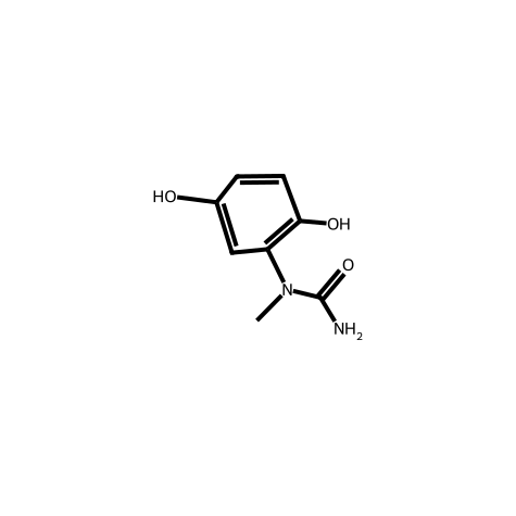 CN(C(N)=O)c1cc(O)ccc1O